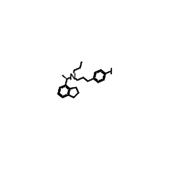 CCCN(CCCc1ccc(I)cc1)[C@H](C)c1cccc2c1CCC2